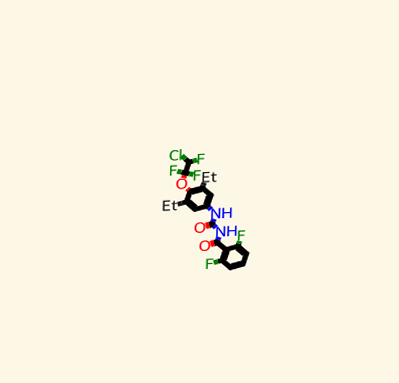 CCc1cc(NC(=O)NC(=O)c2c(F)cccc2F)cc(CC)c1OC(F)(F)C(F)Cl